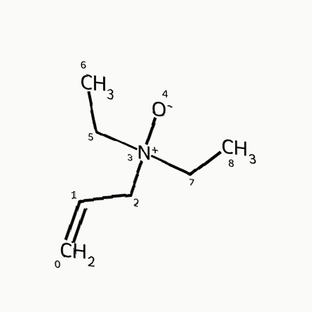 C=CC[N+]([O-])(CC)CC